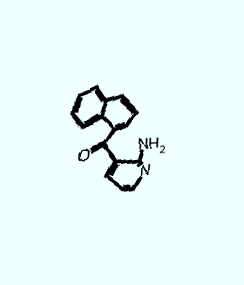 Nc1ncccc1C(=O)c1cccc2ccccc12